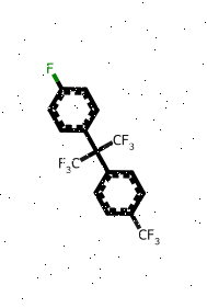 Fc1ccc(C(c2ccc(C(F)(F)F)cc2)(C(F)(F)F)C(F)(F)F)cc1